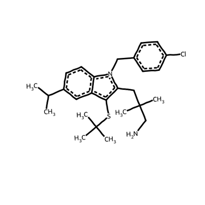 CC(C)c1ccc2c(c1)c(SC(C)(C)C)c(CC(C)(C)CN)n2Cc1ccc(Cl)cc1